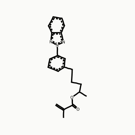 C=C(C)C(=O)OC(C)CCCc1cccc(-n2nc3ccccc3n2)c1